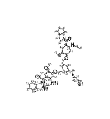 C=C=Nc1cc(OCc2cc(COc3cc4c(cc3OC)C(=O)N3c5ccccc5C[C@H]3CN4)cc(CSCC(C)(C)S)c2)c(OC)cc1C(=O)N1CCc2ccccc21